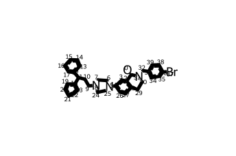 O=C1c2cc(N3CCN(CCC(c4ccccc4)c4ccccc4)CC3)ccc2CCN1Cc1ccc(Br)cc1